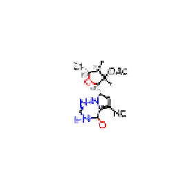 [C-]#[N+]c1cc([C@@H]2O[C@H](CC)[C@@H](C)[C@@]2(C)OC(C)=O)n2nc[nH]c(=O)c12